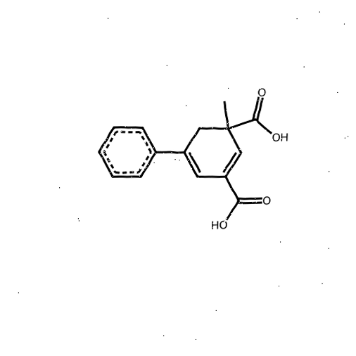 CC1(C(=O)O)C=C(C(=O)O)C=C(c2ccccc2)C1